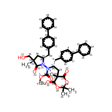 CC(C)(C)OC(=O)N([C@H](Cc1ccc(-c2ccccc2)cc1)CC1(C)C(=O)OC(C)(C)OC1=O)N1C(=O)[C@](C)(CO)C[C@H]1Cc1ccc(-c2ccccc2)cc1